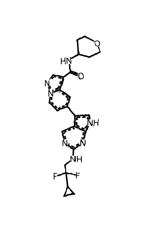 O=C(NC1CCOCC1)c1cnn2ccc(-c3c[nH]c4nc(NCC(F)(F)C5CC5)ncc34)cc12